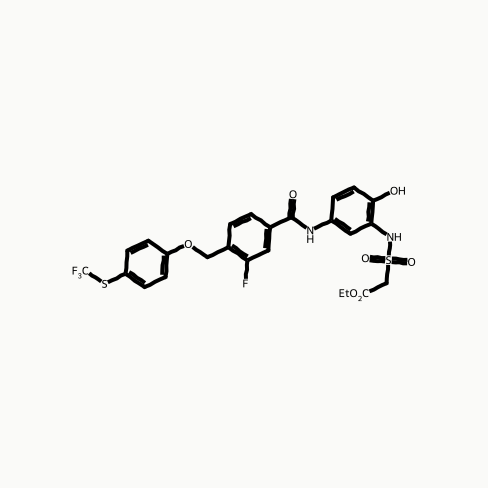 CCOC(=O)CS(=O)(=O)Nc1cc(NC(=O)c2ccc(COc3ccc(SC(F)(F)F)cc3)c(F)c2)ccc1O